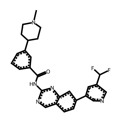 CN1CCC(c2cccc(C(=O)Nc3ncc4ccc(-c5cncc(C(F)F)c5)cc4n3)c2)CC1